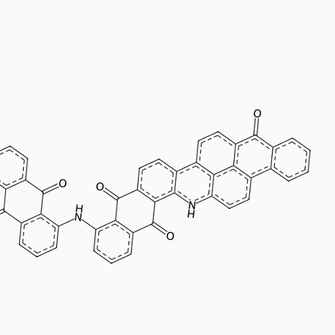 O=C1c2ccccc2C(=O)c2c(Nc3cccc4c3C(=O)c3ccc5c([nH]c6ccc7c8ccccc8c(=O)c8ccc5c6c87)c3C4=O)cccc21